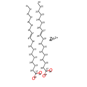 CCCCCCCC=CCCCCCCCCC(=O)[O-].CCCCCCCC=CCCCCCCCCC(=O)[O-].[Zn+2]